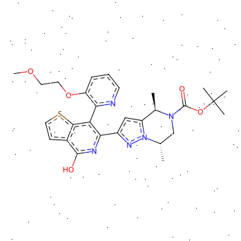 COCCOc1cccnc1-c1c(-c2cc3n(n2)[C@@H](C)CN(C(=O)OC(C)(C)C)[C@@H]3C)nc(O)c2ccsc12